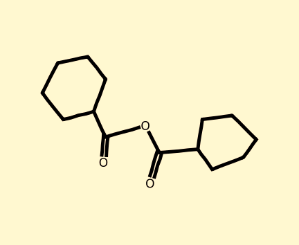 O=C(OC(=O)C1CCCCC1)C1CCCCC1